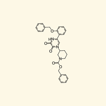 O=C(OCc1ccccc1)N1CCCC(n2cc(-c3ccccc3OCc3ccccc3)[nH]c(=O)c2=O)C1